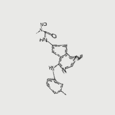 Cc1cccc(Nc2ncnc3ccc(NC(=O)N(C)N=O)cc23)c1